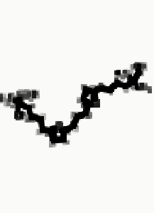 CC(C)(CO)CCCCc1ccc(CCCc2ccc(CCCCC(C)(C)C(=O)O)o2)o1